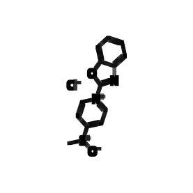 C[S+]([O-])c1cc[n+](-c2nc3ccccc3o2)cc1.[Cl-]